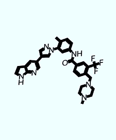 Cc1ccc(NC(=O)c2ccc(CN3CCN(C)CC3)c(C(F)(F)F)c2)cc1-n1cc(-c2cnc3[nH]ccc3c2)cn1